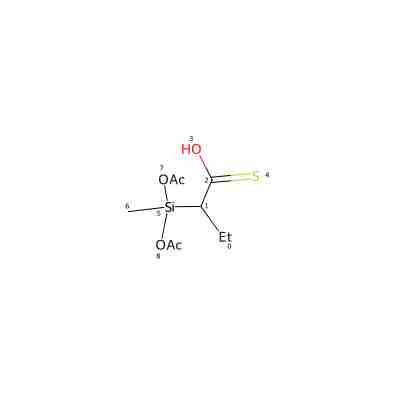 CCC(C(O)=S)[Si](C)(OC(C)=O)OC(C)=O